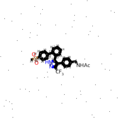 CC(=O)NCc1ccc(-c2c(C(F)(F)F)n[nH]c2-c2ccccc2-c2ccc(S(C)(=O)=O)cc2)cc1